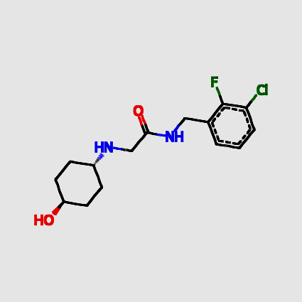 O=C(CN[C@H]1CC[C@H](O)CC1)NCc1cccc(Cl)c1F